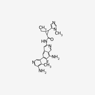 CCC1C(C(=O)Nc2cc3cc(-c4cncc(N)c4C)c(F)c(N)c3cn2)C1c1cncn1C